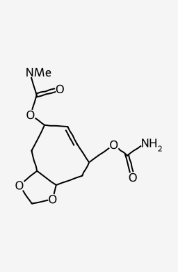 CNC(=O)OC1/C=C/C(OC(N)=O)CC2OCOC2C1